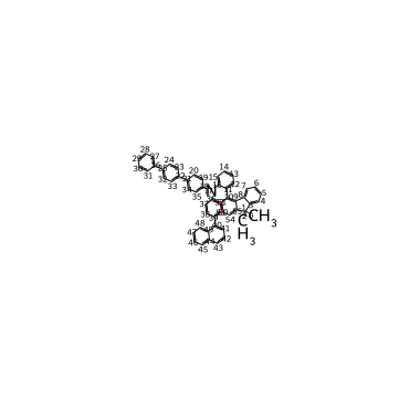 CC1(C)c2ccccc2-c2c(-c3ccccc3N(c3ccc(-c4ccc(-c5ccccc5)cc4)cc3)c3ccc(-c4cccc5ccccc45)cc3)cccc21